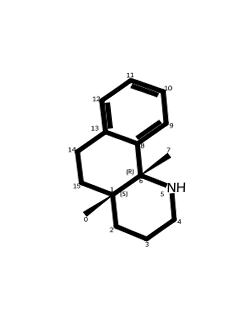 C[C@]12CCCN[C@@]1(C)c1ccccc1CC2